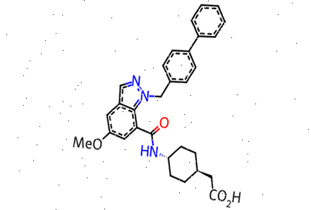 COc1cc(C(=O)N[C@H]2CC[C@H](CC(=O)O)CC2)c2c(cnn2Cc2ccc(-c3ccccc3)cc2)c1